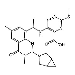 CSc1ncc(NC(C)c2cc(C)cc3c(=O)n(C)c(N4CC5CC5C4)nc23)c(C(=O)O)n1